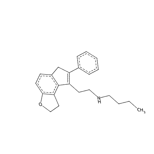 CCCCNCCC1=C(c2ccccc2)Cc2ccc3c(c21)CCO3